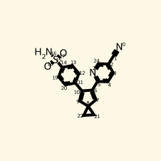 N#Cc1ccc(C2=CC3(C=C2c2ccc(S(N)(=O)=O)cc2)CC3)nc1